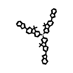 CC1(C)c2cc(C3=Cc4ccccc4C3)ccc2-c2ccc(N(c3ccc4c(c3)C(C)(C)c3cc(C5=Cc6ccccc6C5)ccc3-4)c3ccc4c(c3)C(C)(C)c3cc(C5=Cc6ccccc6C5)ccc3-4)cc21